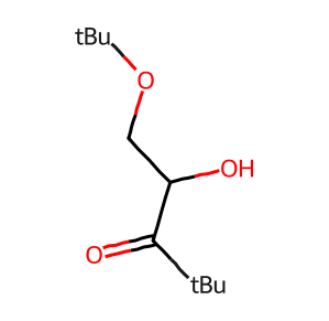 CC(C)(C)OCC(O)C(=O)C(C)(C)C